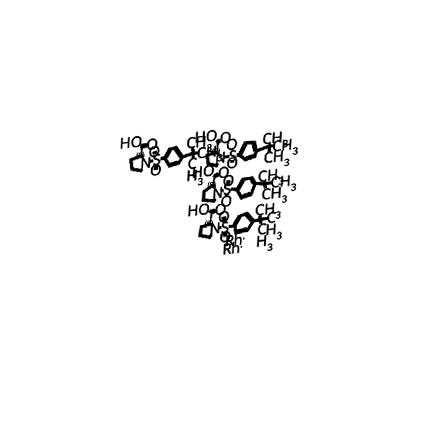 CC(C)(C)c1ccc(S(=O)(=O)N2CCC[C@H]2C(=O)O)cc1.CC(C)(C)c1ccc(S(=O)(=O)N2CCC[C@H]2C(=O)O)cc1.CC(C)(C)c1ccc(S(=O)(=O)N2CCC[C@H]2C(=O)O)cc1.CC(C)(C)c1ccc(S(=O)(=O)N2CCC[C@H]2C(=O)O)cc1.[Rh].[Rh]